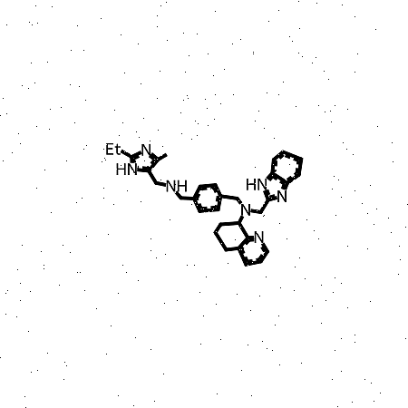 CCc1nc(C)c(CNCc2ccc(CN(Cc3nc4ccccc4[nH]3)C3CCCc4cccnc43)cc2)[nH]1